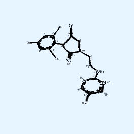 Cc1cc(C)c(C2C(=O)CC(CCNc3ncc(F)cn3)C2=O)c(C)c1